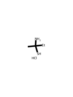 CCC(C)(N)S.Cl